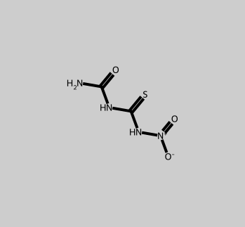 NC(=O)NC(=S)N[N+](=O)[O-]